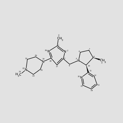 Cc1nc(CN2CC[C@@H](C)[C@H]2c2ccccn2)cc(N2CCN(C)CC2)n1